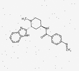 C=Nc1ccc(C(=O)N[C@@H]2CCN(C)[C@@H](c3nc4ccccc4[nH]3)C2)cc1